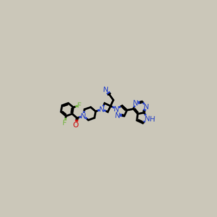 N#CCC1(n2cc(-c3ncnc4[nH]ccc34)cn2)CN(C2CCN(C(=O)c3c(F)cccc3F)CC2)C1